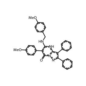 COc1ccc(CNc2[nH]c3c(-c4ccccc4)c(-c4ccccc4)nn3c(=O)c2-c2ccc(OC)cc2)cc1